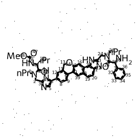 CCCN(Cc1ncc(-c2ccc3c(c2)COc2cc4c(ccc5nc(CN(CCC)C(=O)[C@H](N)c6ccccc6)[nH]c54)cc2-3)[nH]1)C(=O)[C@@H](NC(=O)OC)C(C)C